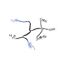 CO[Si](OC)(OC)C(CN)C(C)N